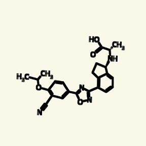 CC(C)Oc1ccc(-c2nc(-c3cccc4c3CC[C@H]4N[C@@H](C)C(=O)O)no2)cc1C#N